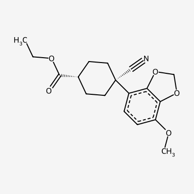 CCOC(=O)[C@H]1CC[C@](C#N)(c2ccc(OC)c3c2OCO3)CC1